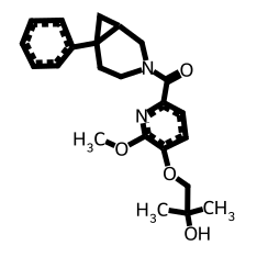 COc1nc(C(=O)N2CCC3(c4ccccc4)CC3C2)ccc1OCC(C)(C)O